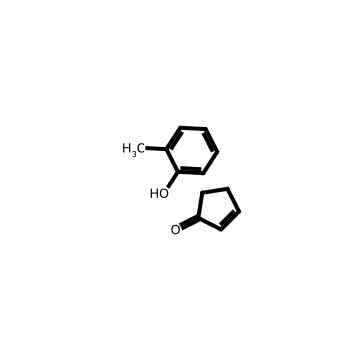 Cc1ccccc1O.O=C1C=CCC1